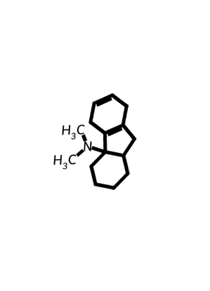 CN(C)C12CCCCC1CC1=C2CC=CC1